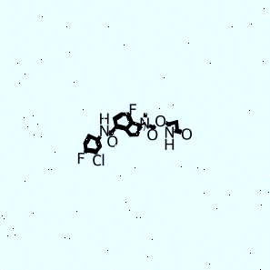 CN(C(=O)OC1CC(=O)N1)[C@H]1CCc2c(C(=O)Nc3ccc(F)c(Cl)c3)ccc(F)c21